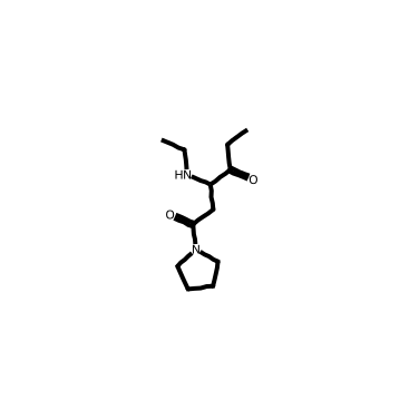 CCNC(CC(=O)N1CCCC1)C(=O)CC